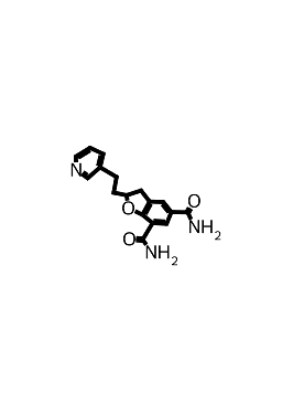 NC(=O)c1cc2c(c(C(N)=O)c1)OC(CCc1cccnc1)C2